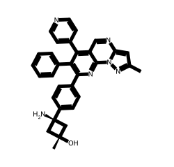 Cc1cc2ncc3c(-c4ccncc4)c(-c4ccccc4)c(-c4ccc([C@]5(N)C[C@](C)(O)C5)cc4)nc3n2n1